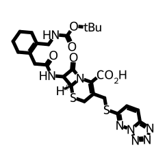 CC(C)(C)OC(=O)NCC1=C(CC(=O)NC2C(=O)N3C(C(=O)O)=C(CSc4ccc5nnnn5n4)CS[C@H]23)CCCC1